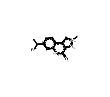 CC(Br)c1ccc2c(c1)[nH]c(=O)c1nn(C)cc12